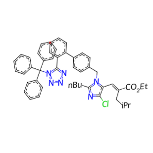 CCCCc1nc(Cl)c(/C=C(\CC(C)C)C(=O)OCC)n1Cc1ccc(-c2ccccc2-c2nnnn2C(c2ccccc2)(c2ccccc2)c2ccccc2)cc1